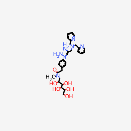 CN(CC(O)C(O)C(O)C(O)CO)C(=O)Cc1ccc(N(N)/C=C(\N)CN(Cc2ccccn2)Cc2ccccn2)cc1